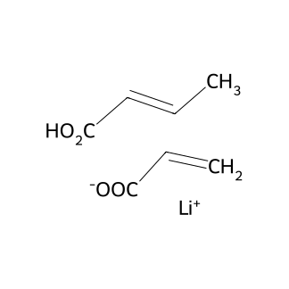 C/C=C/C(=O)O.C=CC(=O)[O-].[Li+]